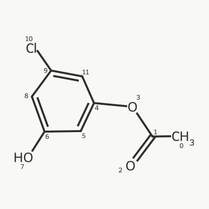 CC(=O)Oc1cc(O)cc(Cl)c1